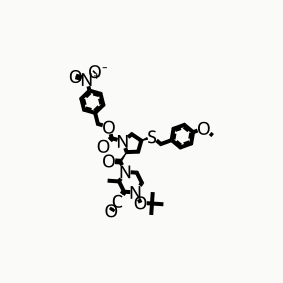 COc1ccc(CS[C@H]2C[C@@H](C(=O)N3CCN(OC(C)(C)C)C(=C=O)C3C)N(C(=O)OCc3ccc([N+](=O)[O-])cc3)C2)cc1